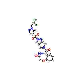 O=C1COc2ccccc2C(C(=O)N2Cc3cn(S(=O)(=O)c4cnn(CC(F)F)c4)nc3C2)N1